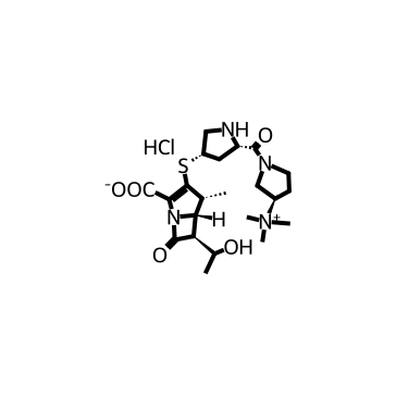 CC(O)[C@H]1C(=O)N2C(C(=O)[O-])=C(S[C@@H]3CN[C@H](C(=O)N4CC[C@@H]([N+](C)(C)C)C4)C3)[C@H](C)[C@H]12.Cl